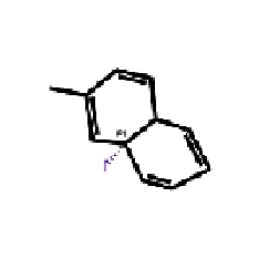 CC1=C[C@]2(I)C=CC=CC2C=C1